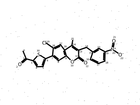 CC(=O)c1ccc(-c2cc3oc(=O)c(Cc4cccc([N+](=O)[O-])c4)c(C)c3cc2Cl)s1